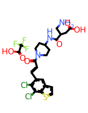 NCC(CC(=O)O)C(=O)NC1CCN(C(=O)C=Cc2cc3ccsc3c(Cl)c2Cl)CC1.O=C(O)C(F)(F)F